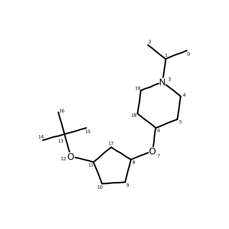 CC(C)N1CCC(OC2CCC(OC(C)(C)C)C2)CC1